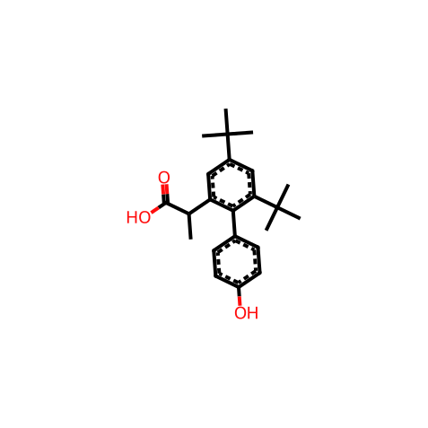 CC(C(=O)O)c1cc(C(C)(C)C)cc(C(C)(C)C)c1-c1ccc(O)cc1